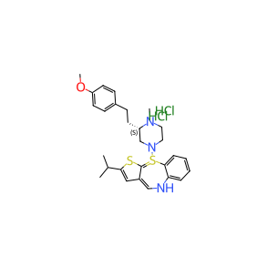 COc1ccc(CC[C@H]2CN(S3=c4sc(C(C)C)cc4=CNc4ccccc43)CCN2C)cc1.Cl.Cl